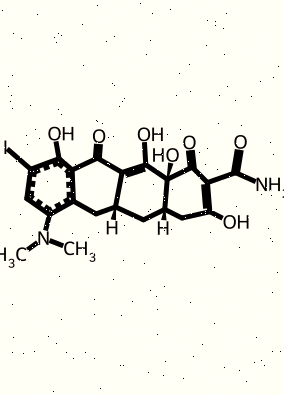 CN(C)c1cc(I)c(O)c2c1C[C@H]1C[C@H]3CC(O)=C(C(N)=O)C(=O)[C@@]3(O)C(O)=C1C2=O